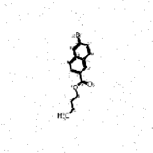 CCCCOC(=O)c1ccc2cc(Br)ccc2c1